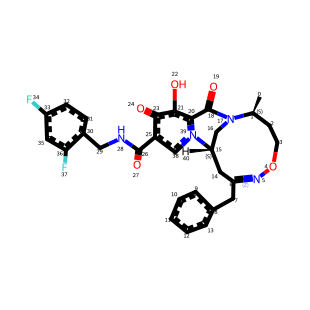 C[C@H]1CCO/N=C(/Cc2ccccc2)C[C@H]2CN1C(=O)c1c(O)c(=O)c(C(=O)NCc3ccc(F)cc3F)cn12